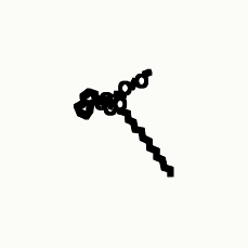 CCCCCCCCCCCCCCCOP(=O)(CCOCCOCC)OOc1cccc2ccccc12